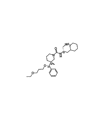 CCOCCCO[C@@H](c1ccccc1)[C@]1(C)CCCN(C(=O)N[C@H](CN)CC2CCCCC2)C1